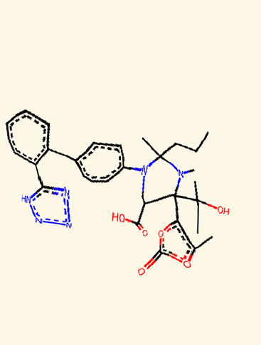 CCCC1(C)N(c2ccc(-c3ccccc3-c3nnn[nH]3)cc2)C(C(=O)O)C(c2oc(=O)oc2C)(C(C)(C)O)N1C